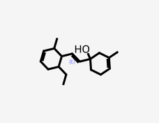 CCC1CC=CC(C)C1/C=C/C1(O)CCC=C(C)C1